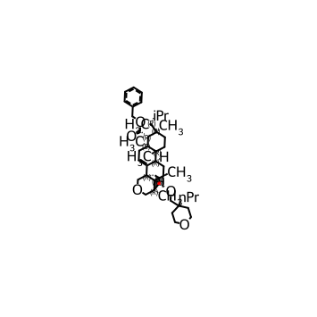 CCCC1(CO[C@H]2[C@H](C)C[C@@]34COC[C@@]2(C)[C@@H]3CC[C@H]2C4=CC[C@@]3(C)[C@H](C(=O)OCc4ccccc4)[C@@](C)([C@H](C)C(C)C)CC[C@]23C)CCOCC1